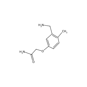 Cc1ccc(OCC(N)=O)cc1CN